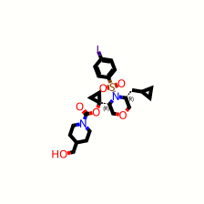 O=C(OC1([C@H]2COC[C@@H](CC3CC3)N2S(=O)(=O)c2ccc(I)cc2)CC1)N1CCC(CO)CC1